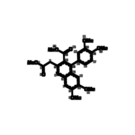 COC(=O)Cc1nc2cc(OC)c(OC)cc2c(-c2ccc(OC)c(OC)c2)c1C(=O)OC